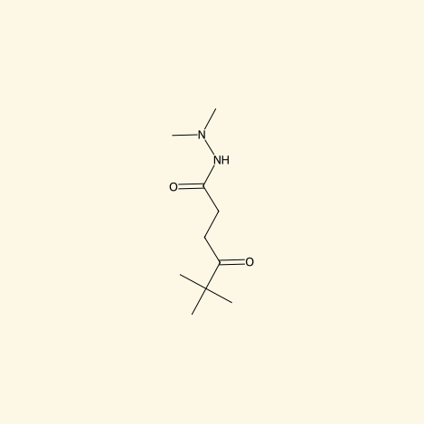 CN(C)NC(=O)CCC(=O)C(C)(C)C